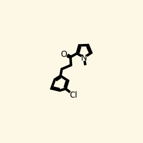 Cn1cccc1C(=O)CCc1cccc(Cl)c1